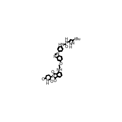 CC(C)(C)c1cc(NC(=O)Nc2ccc(-n3cnc4cc(OCCNc5cccc6c5C(=O)N(C5CCC(=O)NC5=O)C6=O)ccc43)cc2)[nH]n1